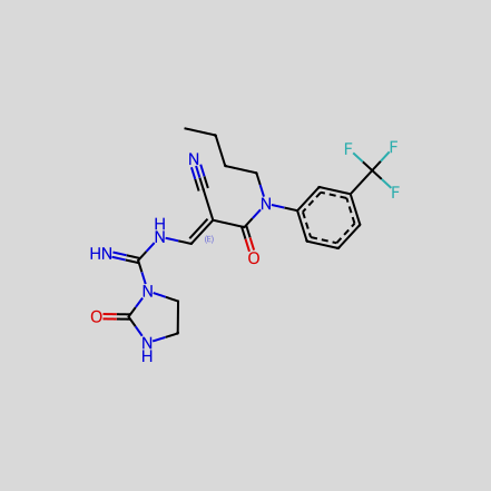 CCCCN(C(=O)/C(C#N)=C/NC(=N)N1CCNC1=O)c1cccc(C(F)(F)F)c1